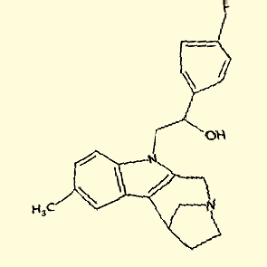 Cc1ccc2c(c1)c1c(n2CC(O)c2ccc(F)cc2)CN2CCC1C2